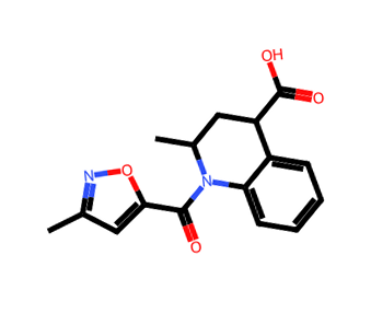 Cc1cc(C(=O)N2c3ccccc3C(C(=O)O)CC2C)on1